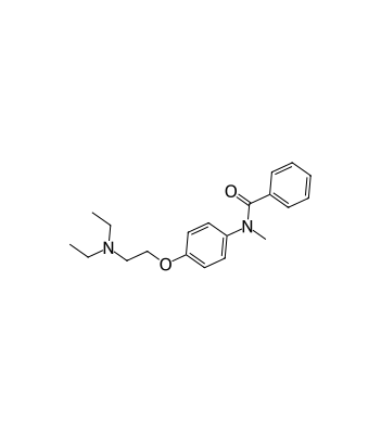 CCN(CC)CCOc1ccc(N(C)C(=O)c2ccccc2)cc1